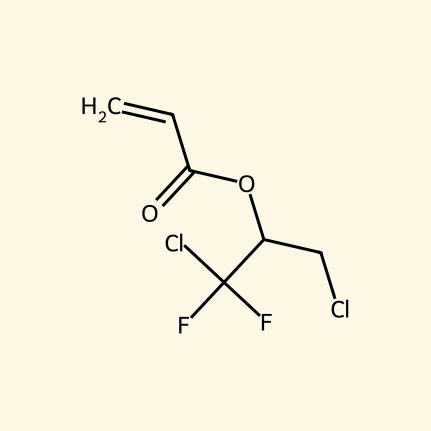 C=CC(=O)OC(CCl)C(F)(F)Cl